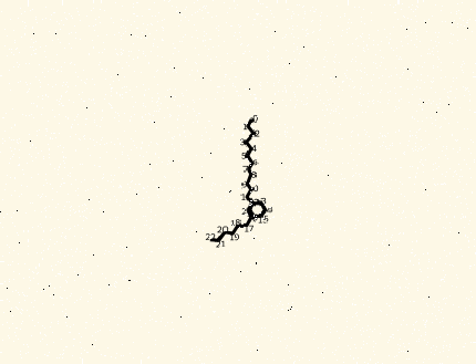 CCCCCCCCCCCCc1cccc(CCCCCC)c1